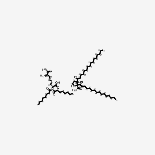 CCCCCCCC(=O)N(C(=O)CCCCCCC)[C@@H](CSSCC(N)C(=O)O)C(=O)O.CCCCCCCCCCCCCCCC(=O)C1(O)CCN[C@@]1(C(=O)O)C(=O)CCCCCCCCCCCCCCC